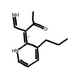 CCCC1=CC=CN/C1=C(\C=N)C(C)=O